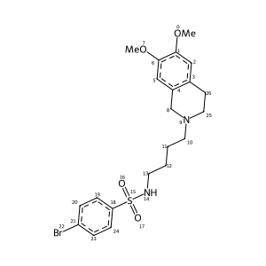 COc1cc2c(cc1OC)CN(CCCCNS(=O)(=O)c1ccc(Br)cc1)CC2